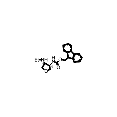 CCN[C@H]1COC[C@@H]1NC(=O)OCC1c2ccccc2-c2ccccc21